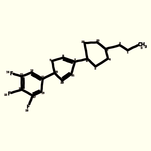 CCCC1CCC(C2=CCC(c3cc(F)c(F)c(F)c3)C=C2)CC1